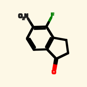 O=C1CCc2c1ccc([N+](=O)[O-])c2F